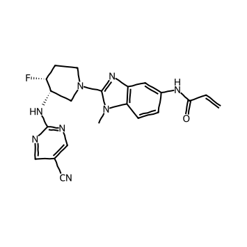 C=CC(=O)Nc1ccc2c(c1)nc(N1CC[C@@H](F)[C@@H](Nc3ncc(C#N)cn3)C1)n2C